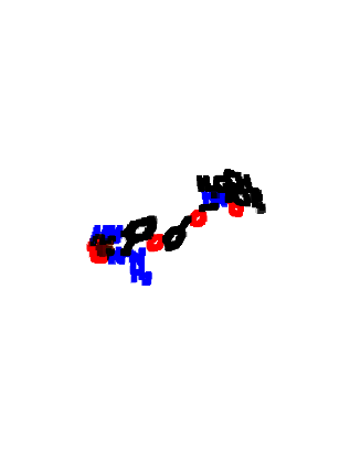 CC(C)(C)C(=O)NCCOCc1cccc(Oc2cccc3c2C(N)=NS(=O)(=O)N3)c1